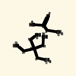 CCC(=O)O.CCC(CO)(CO)CO